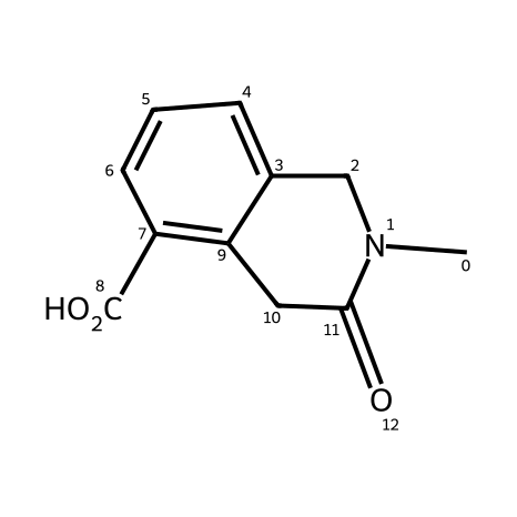 CN1Cc2cccc(C(=O)O)c2CC1=O